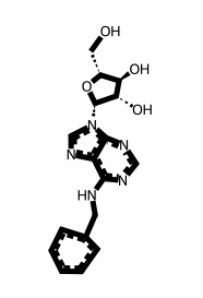 OC[C@H]1O[C@@H](n2cnc3c(NCc4ccccc4)ncnc32)[C@@H](O)[C@@H]1O